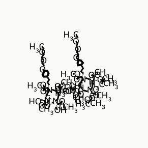 CCOCCOCCOc1ccc(CCC[C@@H](C(=O)OC)N2CCN([C@H](CO)C(=O)OC)CCN([C@@H](CO)C(=O)OC)CCN([C@@H](CO)C(=O)OC)CC2)cc1.CCOCCOCCOc1ccc(CCC[C@@H](C(=O)OC)N2CCN([C@H](COC(C)(C)C)C(=O)OC)CCN([C@@H](COC(C)(C)C)C(=O)OC)CCN([C@@H](COC(C)(C)C)C(=O)OC)CC2)cc1